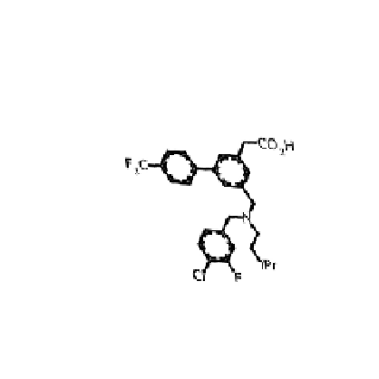 CC(C)CCN(Cc1cc(CC(=O)O)cc(-c2ccc(C(F)(F)F)cc2)c1)Cc1ccc(Cl)c(F)c1